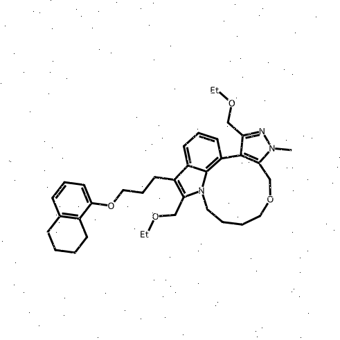 CCOCc1nn(C)c2c1-c1cccc3c(CCCOc4cccc5c4CCCC5)c(COCC)n(c13)CCCCOC2